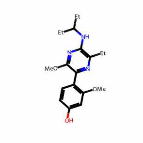 CCc1nc(-c2ccc(O)cc2OC)c(OC)nc1NC(CC)CC